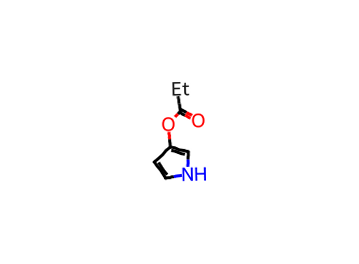 CCC(=O)Oc1cc[nH]c1